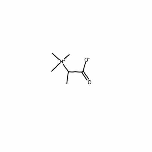 CC(C(=O)[O-])[N+](C)(C)C